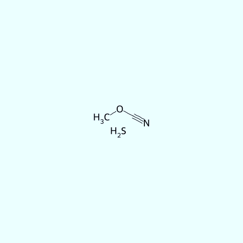 COC#N.S